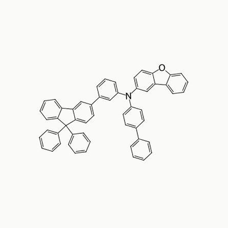 c1ccc(-c2ccc(N(c3cccc(-c4ccc5c(c4)-c4ccccc4C5(c4ccccc4)c4ccccc4)c3)c3ccc4oc5ccccc5c4c3)cc2)cc1